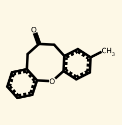 Cc1ccc2c(c1)CC(=O)Cc1ccccc1O2